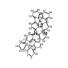 c1ccc(C2(c3ccccc3)c3ccccc3-c3ccc(N(c4cccnc4)c4ccc5c(c4)C4(c6ccccc6-c6ccccc64)c4ccccc4-5)cc32)cc1